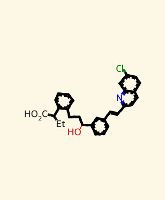 CCC(C(=O)O)c1ccccc1CC[C@@H](O)c1cccc(C=Cc2ccc3ccc(Cl)cc3n2)c1